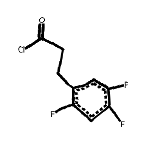 O=C(Cl)CCc1cc(F)c(F)cc1F